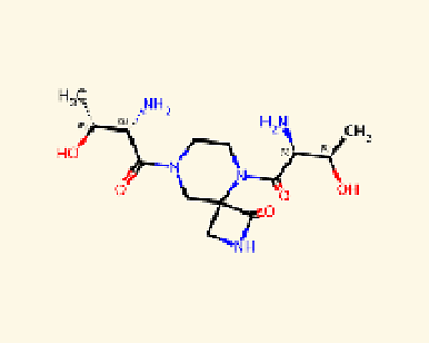 C[C@@H](O)[C@H](N)C(=O)N1CCN(C(=O)[C@@H](N)[C@@H](C)O)C2(CNC2=O)C1